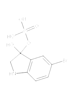 O=P(O)(O)OC1(O)CNc2ccc(Br)cc21